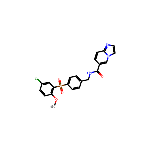 CCCCOc1ccc(Cl)cc1S(=O)(=O)c1ccc(CNC(=O)c2ccc3nccn3c2)cc1